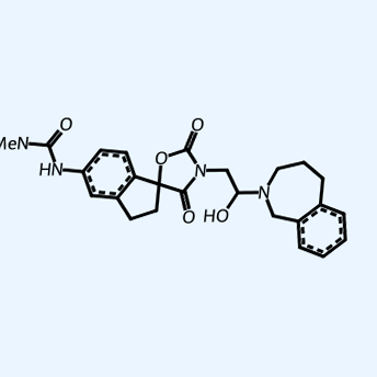 CNC(=O)Nc1ccc2c(c1)CCC21OC(=O)N(CC(O)N2CCCc3ccccc3C2)C1=O